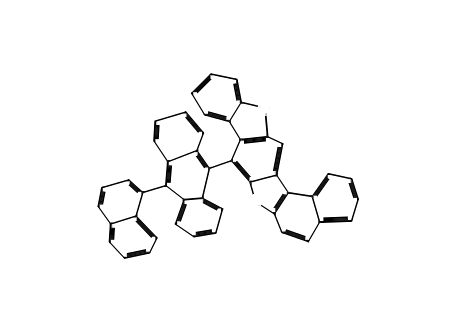 c1ccc2c(-c3c4ccccc4c(-c4c5sc6ccc7ccccc7c6c5cc5oc6ccccc6c45)c4ccccc34)cccc2c1